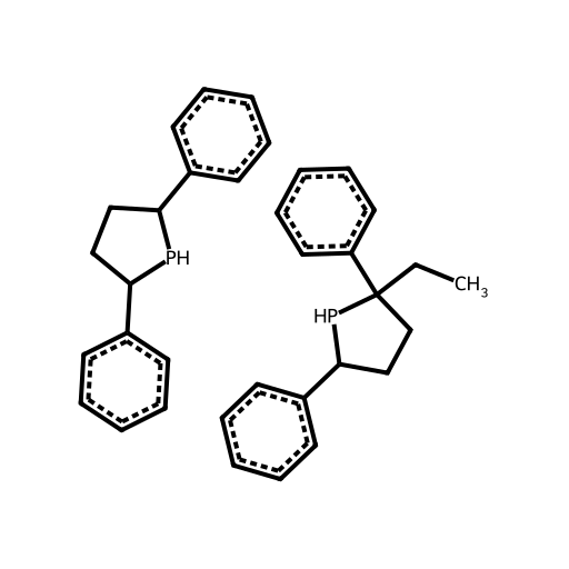 CCC1(c2ccccc2)CCC(c2ccccc2)P1.c1ccc(C2CCC(c3ccccc3)P2)cc1